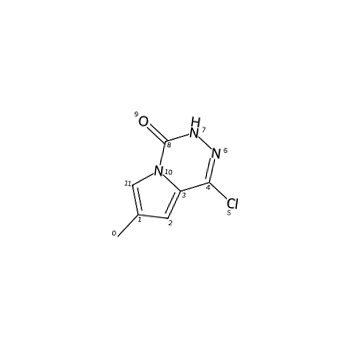 Cc1cc2c(Cl)n[nH]c(=O)n2c1